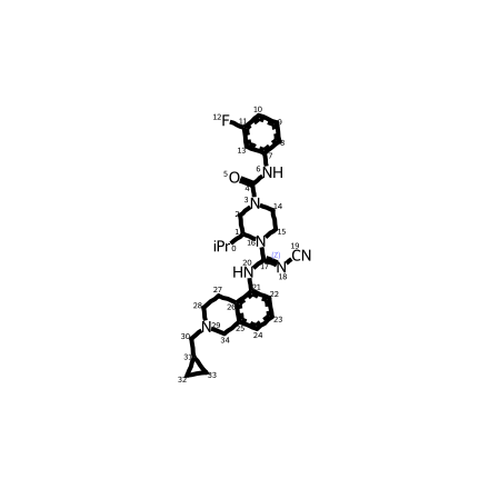 CC(C)C1CN(C(=O)Nc2cccc(F)c2)CCN1/C(=N\C#N)Nc1cccc2c1CCN(CC1CC1)C2